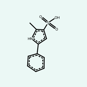 Cc1[nH]c(-c2ccccc2)cc1S(=O)(=O)O